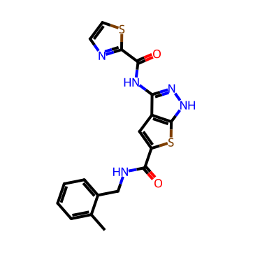 Cc1ccccc1CNC(=O)c1cc2c(NC(=O)c3nccs3)n[nH]c2s1